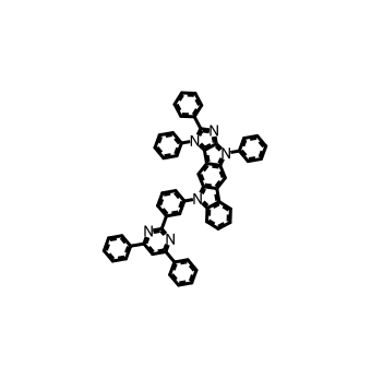 c1ccc(-c2cc(-c3ccccc3)nc(-c3cccc(-n4c5ccccc5c5cc6c(cc54)c4c(nc(-c5ccccc5)n4-c4ccccc4)n6-c4ccccc4)c3)n2)cc1